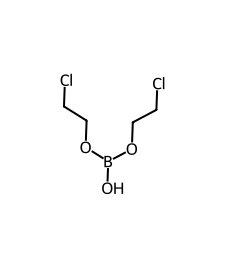 OB(OCCCl)OCCCl